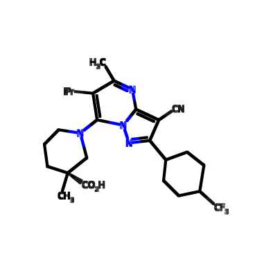 Cc1nc2c(C#N)c(C3CCC(C(F)(F)F)CC3)nn2c(N2CCC[C@](C)(C(=O)O)C2)c1C(C)C